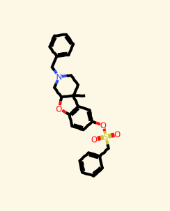 CC12CCN(Cc3ccccc3)CC1Oc1ccc(OS(=O)(=O)Cc3ccccc3)cc12